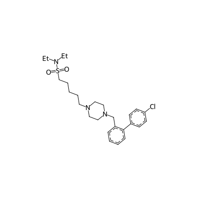 CCN(CC)S(=O)(=O)CCCCCN1CCN(Cc2ccccc2-c2ccc(Cl)cc2)CC1